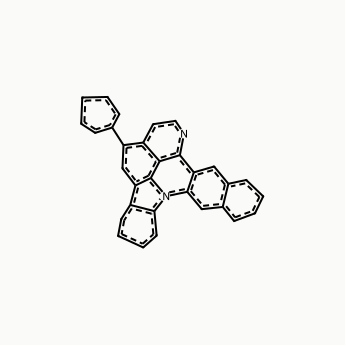 c1ccc(-c2cc3c4ccccc4n4c5cc6ccccc6cc5c5nccc2c5c34)cc1